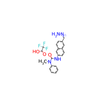 CN(C(=O)Nc1ccc2cc(/C=N\N)ccc2c1)c1ccccc1.O=C(O)C(F)(F)F